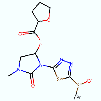 CCC[S+]([O-])c1nnc(N2C(=O)N(C)CC2OC(=O)C2CCCO2)s1